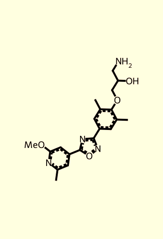 COc1cc(-c2nc(-c3cc(C)c(OCC(O)CN)c(C)c3)no2)cc(C)n1